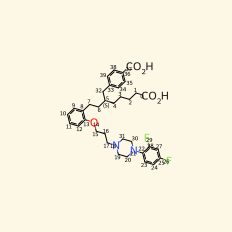 O=C(O)CCCC[C@@H](CCc1ccccc1OCCCN1CCN(c2ccc(F)cc2F)CC1)Cc1ccc(C(=O)O)cc1